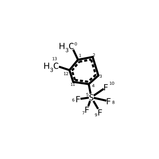 Cc1ccc(S(F)(F)(F)(F)F)cc1C